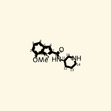 COc1cccc2cc(C(=O)N[C@@H]3CCCNC3)sc12